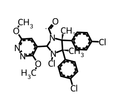 COc1cc(C2N([C]=O)[C@](C)(c3ccc(Cl)cc3)[C@](C)(c3ccc(Cl)cc3)N2Cl)c(OC)nn1